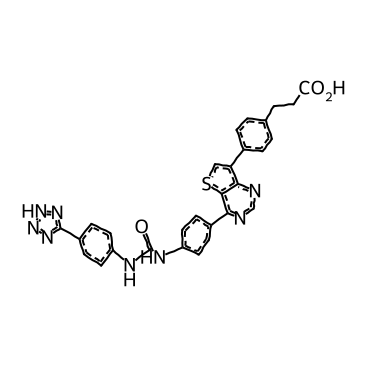 O=C(O)CCc1ccc(-c2csc3c(-c4ccc(NC(=O)Nc5ccc(-c6nn[nH]n6)cc5)cc4)ncnc23)cc1